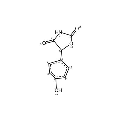 O=C1NC(=O)C(c2ccc(O)cc2)O1